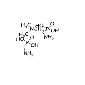 CN(C)C.NCP(=O)(O)O.NCP(=O)(O)O